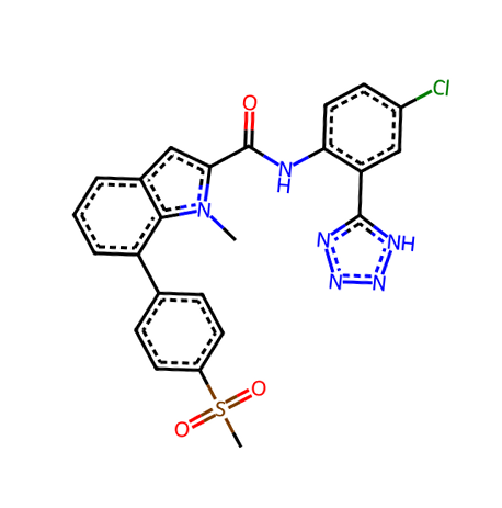 Cn1c(C(=O)Nc2ccc(Cl)cc2-c2nnn[nH]2)cc2cccc(-c3ccc(S(C)(=O)=O)cc3)c21